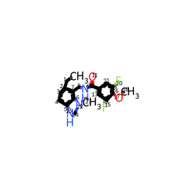 CCc1ccc2c(c1CNC(=O)c1cc(F)c(OC)c(F)c1)N(C)CN2